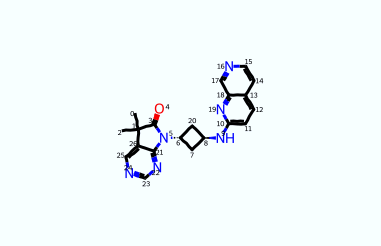 CC1(C)C(=O)N([C@H]2C[C@H](Nc3ccc4ccncc4n3)C2)c2ncncc21